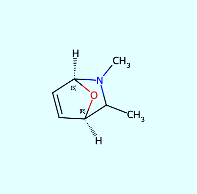 CC1[C@H]2C=C[C@H](O2)N1C